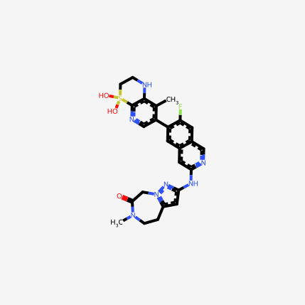 Cc1c(-c2cc3cc(Nc4cc5n(n4)CC(=O)N(C)CC5)ncc3cc2F)cnc2c1NCCS2(O)O